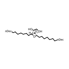 C=C.CCCCCCCCCCCCCCCCCCOCCCCCCCCCCCCCCCCCC.OCCO